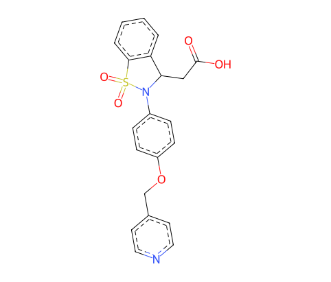 O=C(O)CC1c2ccccc2S(=O)(=O)N1c1ccc(OCc2ccncc2)cc1